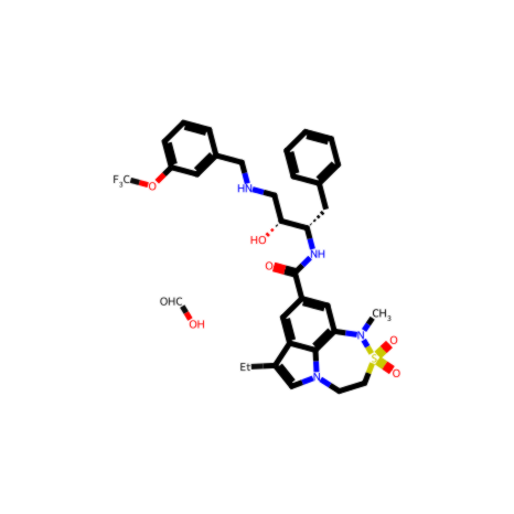 CCc1cn2c3c(cc(C(=O)N[C@@H](Cc4ccccc4)[C@H](O)CNCc4cccc(OC(F)(F)F)c4)cc13)N(C)S(=O)(=O)CC2.O=CO